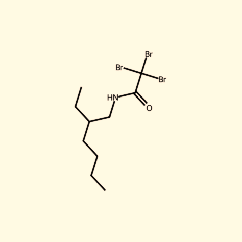 CCCCC(CC)CNC(=O)C(Br)(Br)Br